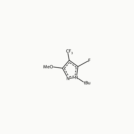 COc1nn(C(C)(C)C)c(F)c1C(F)(F)F